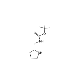 CC(C)(C)OC(=O)NC[C@H]1CCCN1